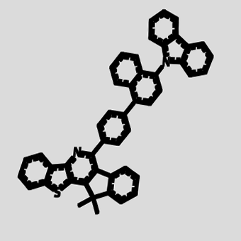 CC1(C)c2ccccc2-c2c(-c3ccc(-c4ccc(-n5c6ccccc6c6ccccc65)c5ccccc45)cc3)nc3c(sc4ccccc43)c21